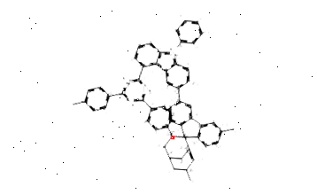 Cc1ccc(-c2nc(-c3ccc(C)cc3)nc(-c3cccc4c3c3cc(-c5ccc6c(c5)-c5cc(C)ccc5C65CCC6CC5=CC(C)C6)ccc3n4-c3ccccc3)n2)cc1